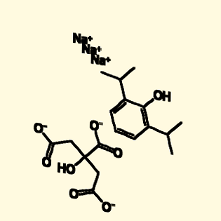 CC(C)c1cccc(C(C)C)c1O.O=C([O-])CC(O)(CC(=O)[O-])C(=O)[O-].[Na+].[Na+].[Na+]